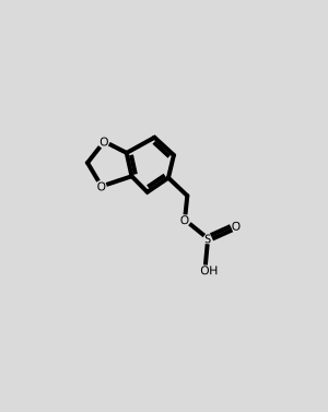 O=S(O)OCc1ccc2c(c1)OCO2